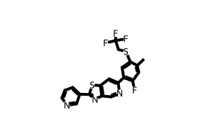 Cc1cc(F)c(-c2cc3sc(-c4cccnc4)nc3cn2)cc1SCC(F)(F)F